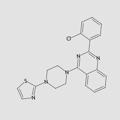 Clc1ccccc1-c1nc(N2CCN(c3nccs3)CC2)c2ccccc2n1